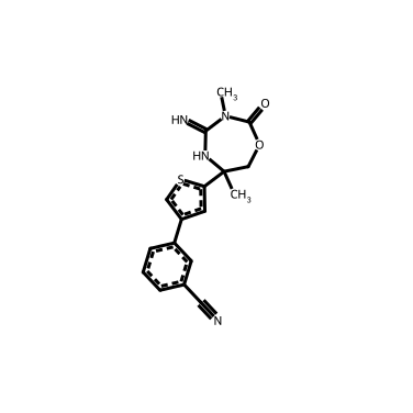 CN1C(=N)NC(C)(c2cc(-c3cccc(C#N)c3)cs2)COC1=O